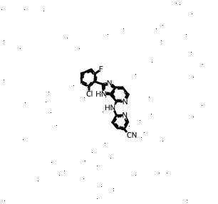 N#Cc1ccc(Nc2nccc3nc(-c4c(F)cccc4Cl)[nH]c23)nc1